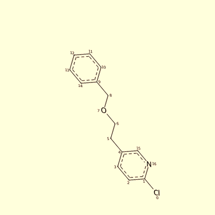 Clc1ccc(CCOCc2ccccc2)cn1